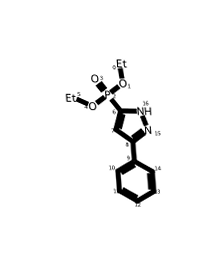 CCOP(=O)(OCC)c1cc(-c2ccccc2)n[nH]1